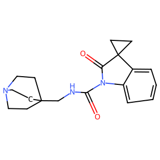 O=C(NCC12CCN(CC1)CC2)N1C(=O)C2(CC2)c2ccccc21